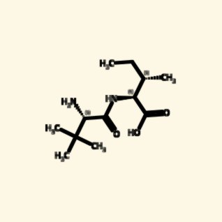 CC[C@H](C)[C@H](NC(=O)[C@@H](N)C(C)(C)C)C(=O)O